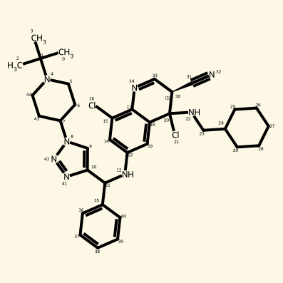 CC(C)(C)N1CCC(n2cc(C(Nc3cc(Cl)c4c(c3)C(Cl)(NCC3CCCCC3)[C@H](C#N)C=N4)c3ccccc3)nn2)CC1